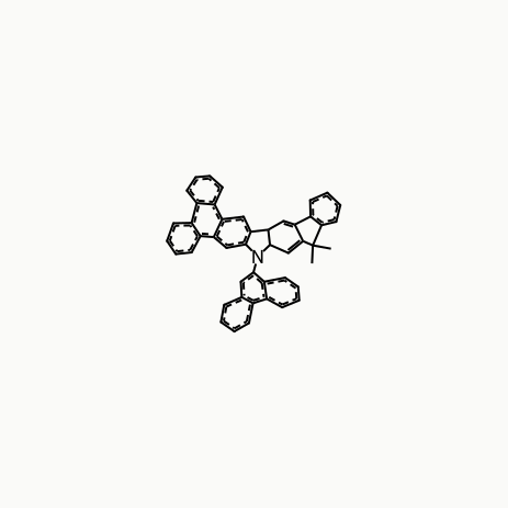 CC1(C)C2=CC3C(C=C2c2ccccc21)c1cc2c4ccccc4c4ccccc4c2cc1N3c1cc2ccccc2c2ccccc12